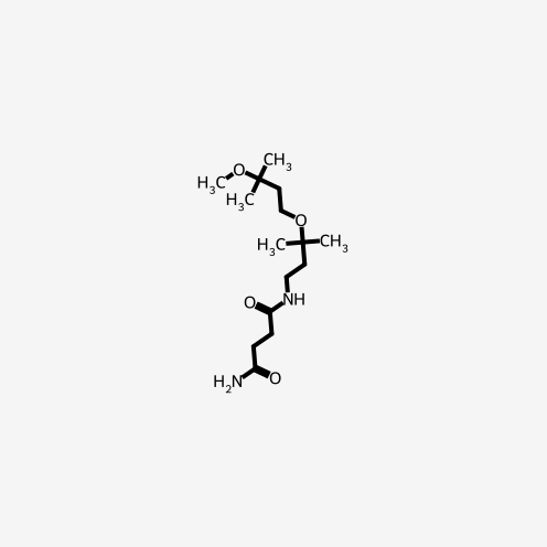 COC(C)(C)CCOC(C)(C)CCNC(=O)CCC(N)=O